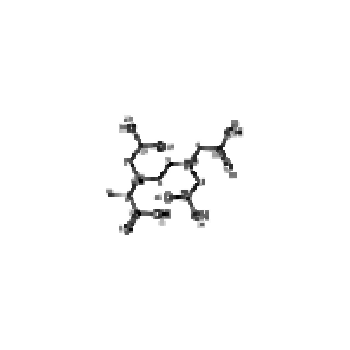 CC(C(=O)O)N(CCN(CC(=O)O)CC(=O)O)CC(=O)O